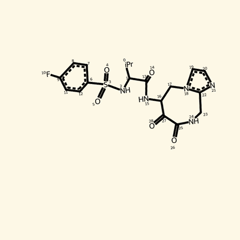 CC(C)C(NS(=O)(=O)c1ccc(F)cc1)C(=O)NC1Cn2ccnc2CNC(=O)C1=O